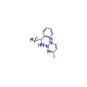 CC(NN1N=C(F)C=[C]N1)c1ccccc1